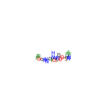 Cc1ccc(COCc2cc3c(C(F)(F)F)nn(C)c3s2)c(N2C(=O)CSC2=NC(=O)Nc2ccc(-c3ncn(-c4ccc(OC(F)(F)F)cc4)n3)cc2F)c1